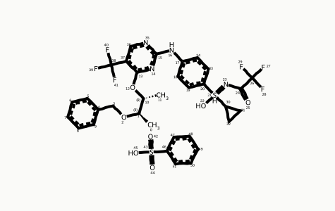 C[C@@H](OCc1ccccc1)[C@@H](C)Oc1nc(Nc2ccc([SH](O)(=NC(=O)C(F)(F)F)C3CC3)cc2)ncc1C(F)(F)F.O=S(=O)(O)c1ccccc1